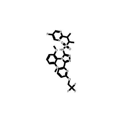 COc1cccc(OC)c1-n1c(NS(=O)(=O)C(C)C(C)c2ncc(F)cn2)nnc1-c1cccc(OCC(F)(F)F)n1